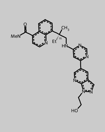 CC[C@](C)(CNc1cc(-c2cnc3c(cnn3CCO)c2)ncn1)c1cccc2c(C(=O)NC)ccnc12